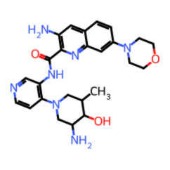 CC1CN(c2ccncc2NC(=O)c2nc3cc(N4CCOCC4)ccc3cc2N)CC(N)C1O